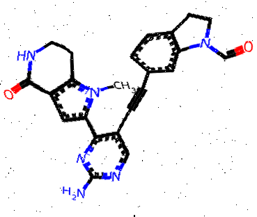 Cn1c(-c2nc(N)ncc2C#Cc2ccc3c(c2)N([C]=O)CC3)cc2c1CCNC2=O